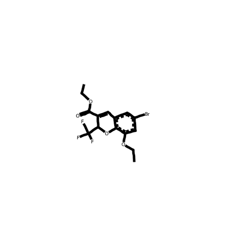 CCOC(=O)C1=Cc2cc(Br)cc(OCC)c2OC1C(F)(F)F